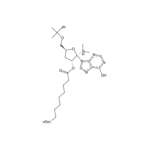 CCCCCCCCCCCCCCCCCC(=O)O[C@@H]1C[C@@H](COC(C)(C)C(C)C)O[C@]1(n1cnc2c(O)ncnc21)[SiH](C)C